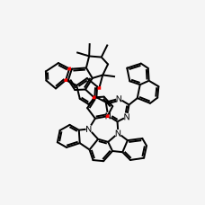 CC1CC(C)(C)c2c(-c3cccc(-n4c5ccccc5c5ccc6c7ccccc7n(-c7nc(-c8ccc(-c9ccccc9)cc8)nc(-c8cccc9ccccc89)n7)c6c54)c3)cccc2C1(C)C